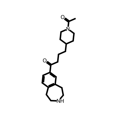 CC(=O)N1CCC(CCCC(=O)c2ccc3c(c2)CCNCC3)CC1